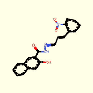 O=C(NN=CC=Cc1ccccc1[N+](=O)[O-])c1cc2ccccc2cc1O